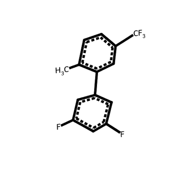 Cc1ccc(C(F)(F)F)cc1-c1cc(F)cc(F)c1